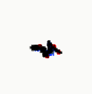 CCN1CCN(C(C(=O)NCCCOC)c2ccc(Nc3nc(-c4cccc(NC(=O)c5ccc(C(C)(C)C)cc5)c4C)cn(C)c3=O)cc2)CC1